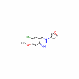 CC(C)OC1=CC(=N)/C(=C\NC23COC(C2)C3)C=C1Br